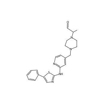 CC(C=O)N1CCN(Cc2ccnc(Nc3ncc(-c4ccccc4)s3)c2)CC1